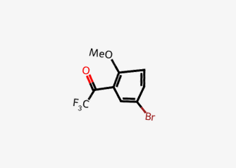 COc1ccc(Br)cc1C(=O)C(F)(F)F